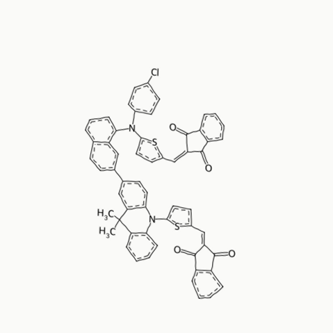 CC1(C)c2ccccc2N(c2ccc(C=C3C(=O)c4ccccc4C3=O)s2)c2ccc(-c3ccc4cccc(N(c5ccc(Cl)cc5)c5ccc(C=C6C(=O)c7ccccc7C6=O)s5)c4c3)cc21